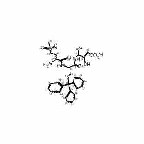 CC(C)C(NC(=O)[C@H](CSC(c1ccccc1)(c1ccccc1)c1ccccc1)NC(=O)[C@@H](N)CCS(C)(=O)=O)C(O)CC(=O)O